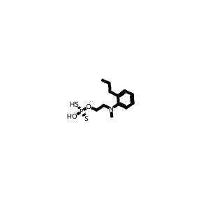 CCCc1ccccc1N(C)CCOP(O)(=S)S